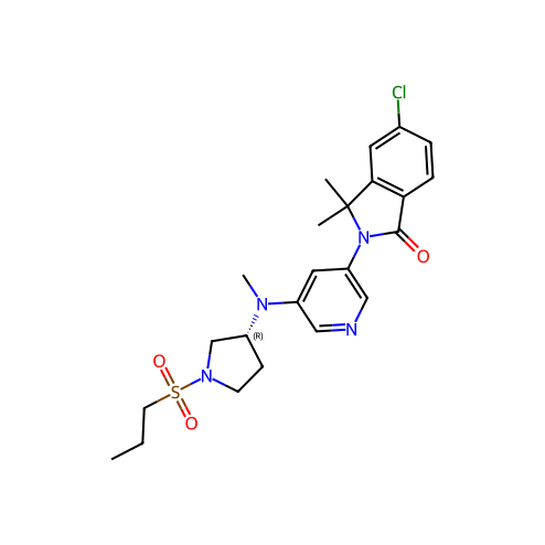 CCCS(=O)(=O)N1CC[C@@H](N(C)c2cncc(N3C(=O)c4ccc(Cl)cc4C3(C)C)c2)C1